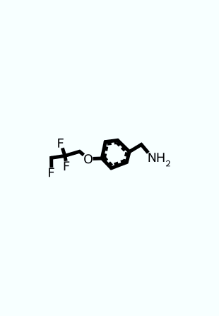 NCc1ccc(OCC(F)(F)CF)cc1